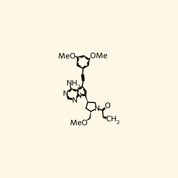 C=CC(=O)N1C[C@H](c2cc(C#Cc3cc(OC)cc(OC)c3)c3c(N)ncnn23)C[C@@H]1COC